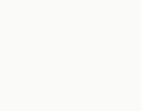 [TeH2].c1ccccc1.c1ccccc1